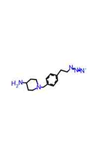 [N-]=[N+]=NCCc1ccc(CN2CCC(N)CC2)cc1